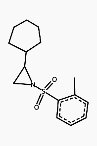 Cc1ccccc1S(=O)(=O)N1CC1C1CCCCC1